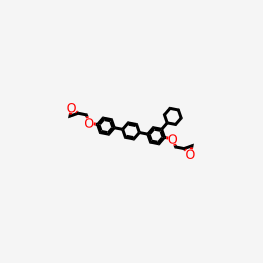 C1=CC(c2ccc(OCC3CO3)c(C3CCCCC3)c2)C=CC1c1ccc(OCC2CO2)cc1